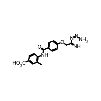 Cc1cc(C(=O)O)ccc1NC(=O)c1ccc(OCC(=N)/N=N\N)cc1